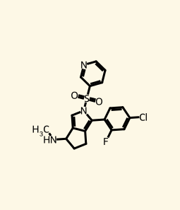 CNC1CCc2c1cn(S(=O)(=O)c1cccnc1)c2-c1ccc(Cl)cc1F